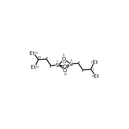 CCC(CC)CC[Si]12O[Si](CCC(CC)CC)(O1)O2